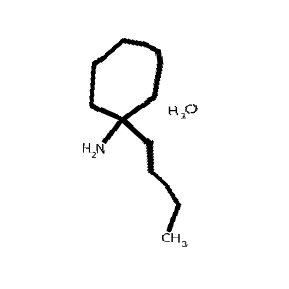 CCCCC1(N)CCCCC1.O